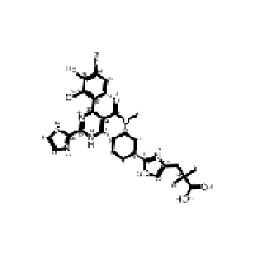 COC(=O)C1=C([C@H]2CC[C@H](c3nc(CC(C)(C)C(=O)O)co3)CC2)NC(c2nccs2)=NC1c1ccc(F)c(F)c1Cl